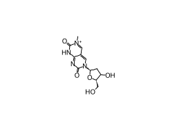 C[n+]1cc2cn([C@H]3CC(O)[C@@H](CO)O3)c(=O)nc2[nH]c1=O